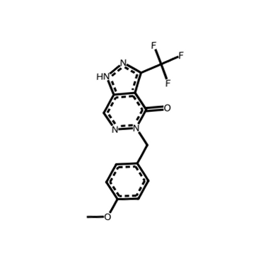 COc1ccc(Cn2ncc3[nH]nc(C(F)(F)F)c3c2=O)cc1